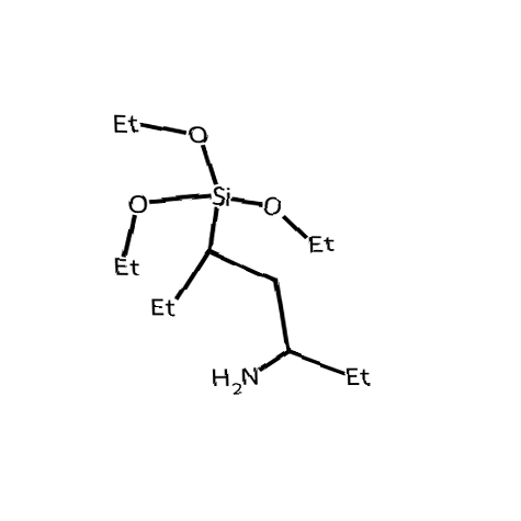 CCO[Si](OCC)(OCC)C(CC)CC(N)CC